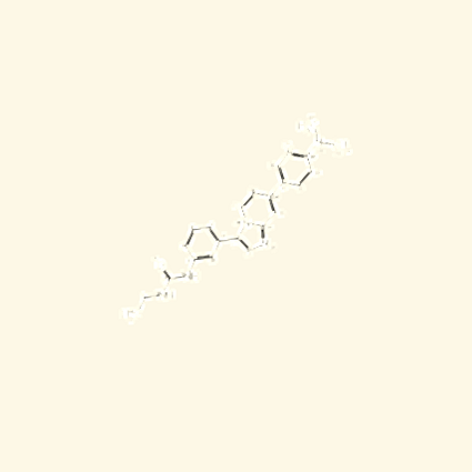 CCNC(=O)Nc1cccc(-c2cnc3cc(-c4ccc(N(C)C)nc4)ccn23)c1